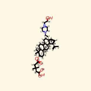 C=C(C)[C@@H]1CC[C@]2(CCN3CCN(CCO)CC3)CC[C@]3(C)[C@H](CC[C@@H]4[C@@]5(C)CC[C@H](OC(=O)CC(C)(C)CC(=O)O)C(C)(C)[C@@H]5CC[C@]43C)[C@@H]12